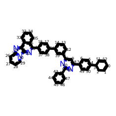 C1=CCC(c2ccc(-c3cc(-c4cccc(-c5ccc(-c6nc7c(nc8ccccn87)c7ccccc67)cc5)c4)nc(-c4ccccc4)n3)cc2)C=C1